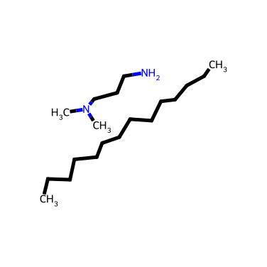 CCCCCCCCCCCCCC.CN(C)CCCN